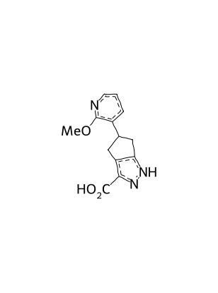 COc1ncccc1C1Cc2[nH]nc(C(=O)O)c2C1